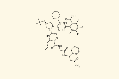 CCCC(NC(=O)[C@@H]1C[C@@H](OC(C)(C)C)CN1C(=O)[C@@H](NC(=O)c1c(F)c(F)c(F)c(F)c1C(=O)O)C1CCCCC1)C(=O)C(=O)NCC(=O)NC(CC(N)=O)c1ccccc1